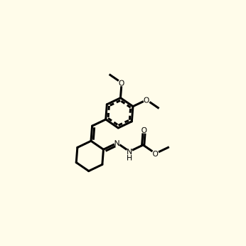 COC(=O)NN=C1CCCCC1=Cc1ccc(OC)c(OC)c1